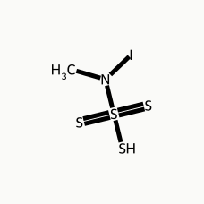 CN(I)S(=S)(=S)S